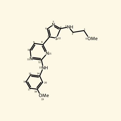 COCCNc1ncc(-c2ccnc(Nc3cccc(OC)c3)n2)s1